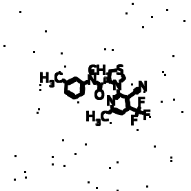 Cc1cccc(N(C)C(=O)[C@@H]2CSCN2c2nc(C)cc(C(F)(F)F)c2C#N)c1